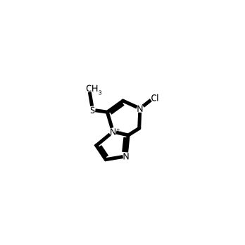 CSC1=CN(Cl)CC2=NC=C[N+]12